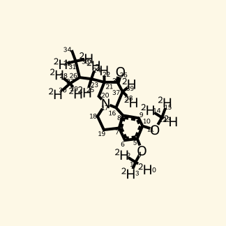 [2H]C([2H])([2H])Oc1cc2c(cc1OC([2H])([2H])[2H])C1N(CC2)CC([2H])(C([2H])([2H])C(C([2H])([2H])[2H])C([2H])([2H])C)C(=O)C1([2H])[2H]